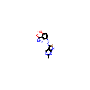 Cc1ncc2c(/N=N/c3ccc(O)c(C(N)=O)c3)snc2n1